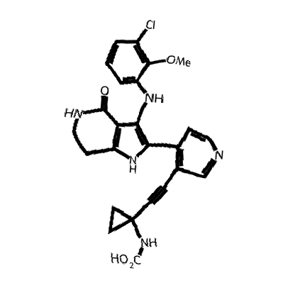 COc1c(Cl)cccc1Nc1c(-c2ccncc2C#CC2(NC(=O)O)CC2)[nH]c2c1C(=O)NCC2